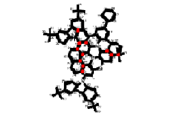 CC(C)(C)c1cc2c3c(c1)N(c1c(-c4ccccc4)cc(-c4ccccc4)cc1-c1ccccc1)c1cc(-n4c5ccc(C(C)(C)C)cc5c5cc(C(C)(C)C)ccc54)cc(-c4ccccc4)c1B3c1c(cc(-n3c4ccc(C(C)(C)C)cc4c4cc(C(C)(C)C)ccc43)cc1-c1ccccc1)S2